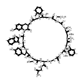 CCCC[C@H]1C(=O)N(C)CC(=O)N[C@@H](CC(=O)O)C(=O)N[C@@H](C(C)C)C(=O)N(C)[C@@H](Cc2ccccc2)C(=O)N[C@H]2Cc3ccc(O)cc3N(CC(=O)N[C@@H](Cc3c[nH]c4ccccc34)C(=O)NC(Cc3ccc(O)cc3)C(=O)N[C@@H](CC(C)C)C(=O)N[C@H](C(=O)NCC(N)=O)CSCC(=O)N[C@@H]([C@@H](C)CC)C(=O)N(C)[C@@H](Cc3ccccc3)C(=O)N1C)C2=O